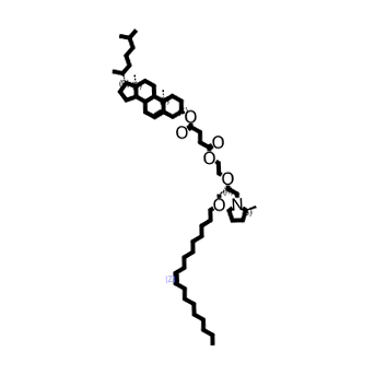 CCCCCCCC/C=C\CCCCCCCCOC[C@@H](CN1CCC[C@@H]1C)OCCOC(=O)CCC(=O)O[C@H]1CC[C@@]2(C)C(=CCC3C2CC[C@@]2(C)C3CC[C@@H]2C(C)CCCC(C)C)C1